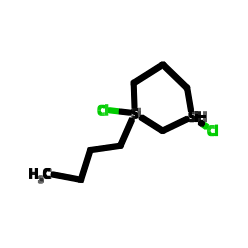 CCCC[Si]1(Cl)CCC[SiH](Cl)C1